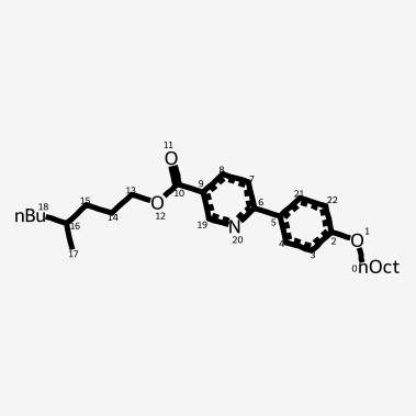 CCCCCCCCOc1ccc(-c2ccc(C(=O)OCCCC(C)CCCC)cn2)cc1